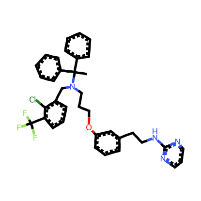 CC(c1ccccc1)(c1ccccc1)N(CCCOc1cccc(CCNc2ncccn2)c1)Cc1cccc(C(F)(F)F)c1Cl